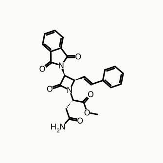 COC(=O)[C@H](CC(N)=O)N1C(=O)[C@@H](N2C(=O)c3ccccc3C2=O)[C@H]1C=Cc1ccccc1